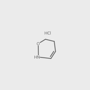 C1=CNOCC1.Cl